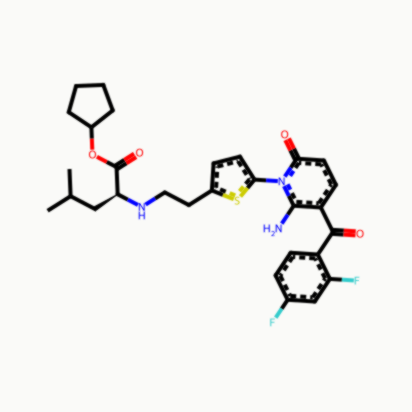 CC(C)C[C@H](NCCc1ccc(-n2c(N)c(C(=O)c3ccc(F)cc3F)ccc2=O)s1)C(=O)OC1CCCC1